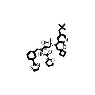 CC(C)(C)Cc1cnc2c(c1)[C@@H](NC[C@@H](O)[C@H](Cc1cccc(-c3nccs3)c1)NC(=O)[C@@H]1CCCO1)CC1(CCC1)O2